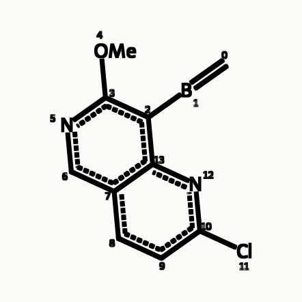 C=Bc1c(OC)ncc2ccc(Cl)nc12